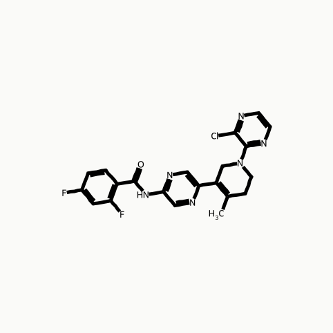 CC1=C(c2cnc(NC(=O)c3ccc(F)cc3F)cn2)CN(c2nccnc2Cl)CC1